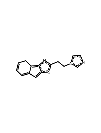 C1=CCC2=c3nc(CCn4ccnc4)sc3=CC2=C1